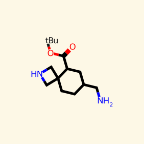 CC(C)(C)OC(=O)C1CC(CN)CCC12CNC2